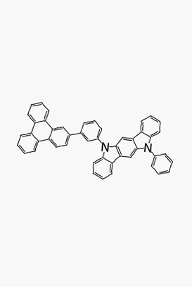 c1ccc(-n2c3ccccc3c3cc4c(cc32)c2ccccc2n4-c2cccc(-c3ccc4c5ccccc5c5ccccc5c4c3)c2)cc1